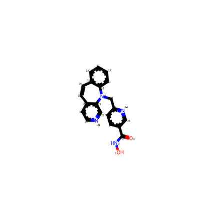 O=C(NO)c1ccc(CN2c3ccccc3C=Cc3ccncc32)nc1